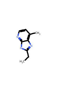 CCC1=Nc2c(C)ccnc2[N]1